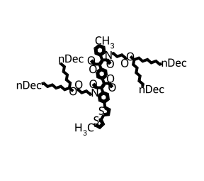 CCCCCCCCCCCCCCCCC(CCCCCCCCCCCCCCCC)OC(=O)CCCN1C(=O)/C(=C2/C(=O)Oc3cc4c(cc32)OC(=O)/C4=C2/C(=O)N(CCCC(=O)OC(CCCCCCCCCCCCCCCC)CCCCCCCCCCCCCCCC)c3cc(-c4ccc(-c5ccc(C)s5)s4)ccc32)c2ccc(C)cc21